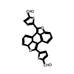 O=Cc1ccc(C2=C3c4cccc5oc(-c6ccc(C=O)s6)c(c45)C4=CC=CC(O2)C43)s1